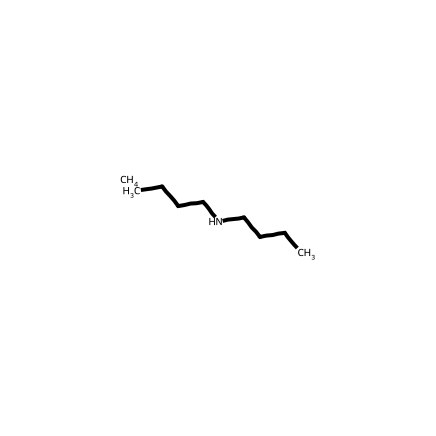 C.CCCCNCCCC